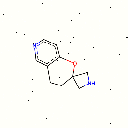 c1cc2c(cn1)CCC1(CNC1)O2